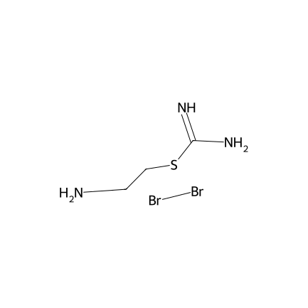 BrBr.N=C(N)SCCN